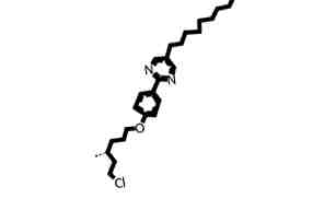 CCCCCCCCCCc1cnc(-c2ccc(OCCC[C@@H](C)CCCl)cc2)nc1